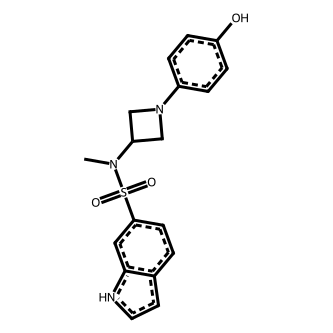 CN(C1CN(c2ccc(O)cc2)C1)S(=O)(=O)c1ccc2cc[nH]c2c1